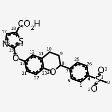 CS(=O)(=O)c1ccc(C2CCc3cc(Oc4ncc(C(=O)O)s4)ccc3O2)cc1